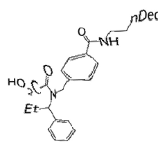 CCCCCCCCCCCCNC(=O)c1ccc(CN(C(=O)C(=O)O)C(CC)c2ccccc2)cc1